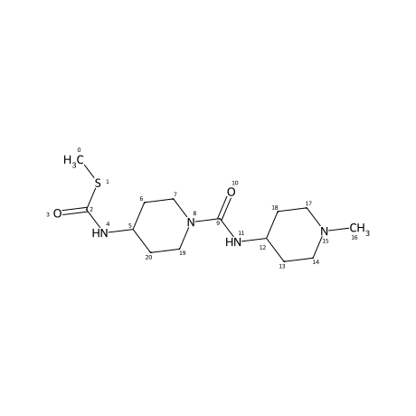 CSC(=O)NC1CCN(C(=O)NC2CCN(C)CC2)CC1